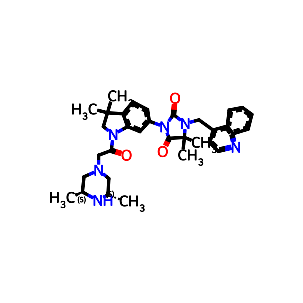 C[C@H]1CN(CC(=O)N2CC(C)(C)c3ccc(N4C(=O)N(Cc5ccnc6ccccc56)C(C)(C)C4=O)cc32)C[C@H](C)N1